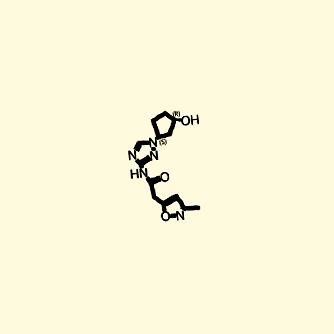 Cc1cc(CC(=O)Nc2ncn([C@H]3CC[C@@H](O)C3)n2)on1